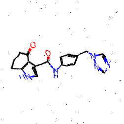 O=C(Nc1ccc(Cn2cncn2)cc1)c1c[nH]c2c1C(=O)CCC2